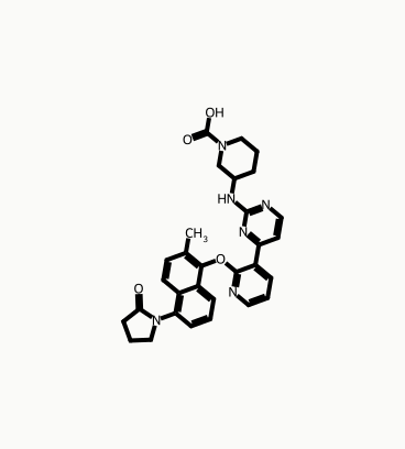 Cc1ccc2c(N3CCCC3=O)cccc2c1Oc1ncccc1-c1ccnc(NC2CCCN(C(=O)O)C2)n1